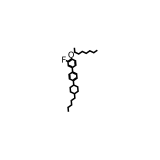 CCCCCCC(C)Oc1ccc(-c2ccc(C3CCC(CCCCC)CC3)cc2)cc1F